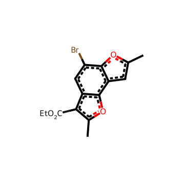 CCOC(=O)c1c(C)oc2c1cc(Br)c1oc(C)cc12